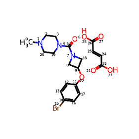 CN1CCN(C(=O)N2CC(Oc3ccc(Br)cc3)C2)CC1.O=C(O)C=CC(=O)O